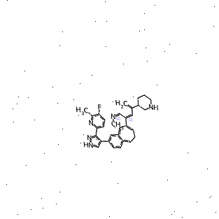 C=C(/C=C(\C=N/C)C1=CCC=c2ccc(-c3c[nH]nc3-c3ccc(F)c(C)n3)cc2=C1)C1CCCNC1